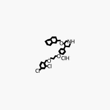 Cl.Clc1ccc(COCCCOc2ccc(C3CCNCC3OCc3ccc4ccccc4c3)cc2)c(Cl)c1